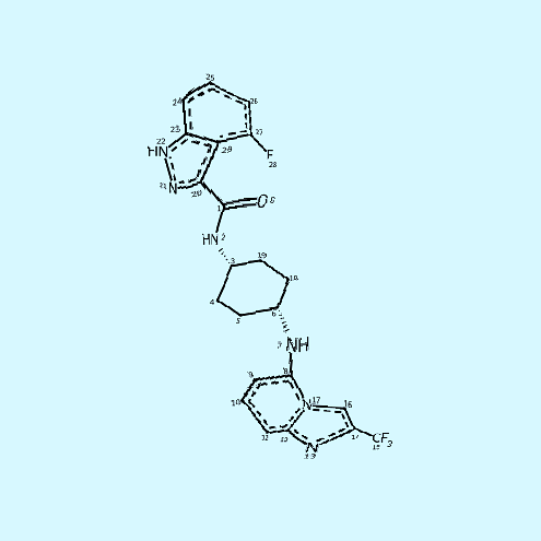 O=C(N[C@H]1CC[C@@H](Nc2cccc3nc(C(F)(F)F)cn23)CC1)c1n[nH]c2cccc(F)c12